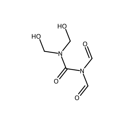 O=CN(C=O)C(=O)N(CO)CO